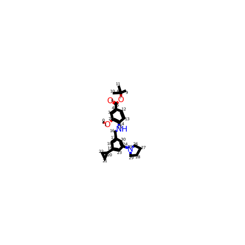 COc1cc(C(=O)OC(C)(C)C)ccc1NCc1cc(C2CC2)cc(N2CCCC2)c1